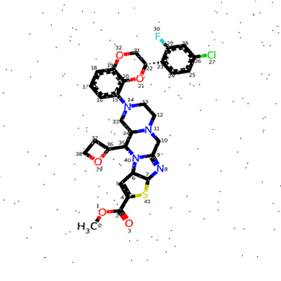 COC(=O)C1=CC2C(N=C3CN4CCN(c5cccc6c5O[C@@H](c5ccc(Cl)cc5F)CO6)CC4C(C4CCO4)N32)S1